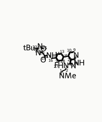 CNCCNc1n[nH]c2nccc(-c3ccc(CNC(=O)c4nc(C(C)(C)C)no4)c(F)c3)c12